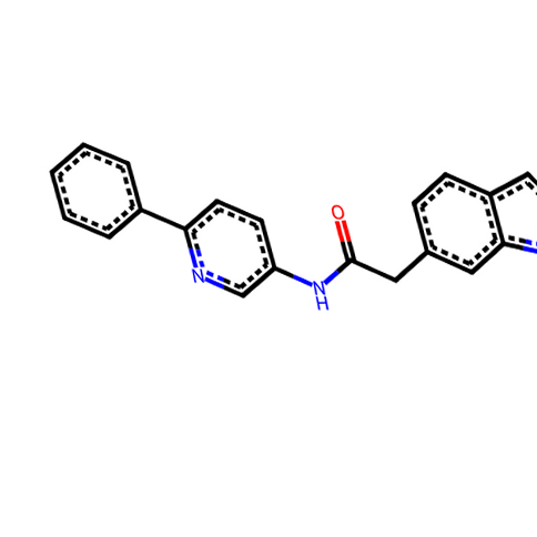 O=C(Cc1ccc2cc[nH]c2c1)Nc1ccc(-c2ccccc2)nc1